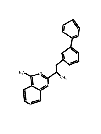 CC(Cc1cccc(-c2ccccc2)c1)c1nc(N)c2ccncc2n1